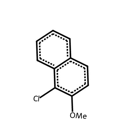 COc1ccc2ccccc2c1Cl